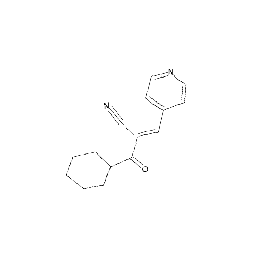 N#C/C(=C\c1ccncc1)C(=O)C1CCCCC1